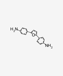 Nc1ccc(-c2ccc(-c3ccc(N)cc3)o2)cc1